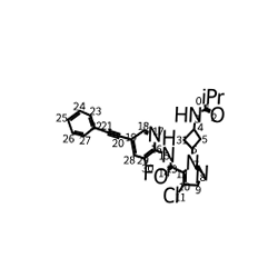 CC(C)C(=O)NC1CC(n2ncc(Cl)c2C(=O)Nc2ncc(C#Cc3ccccc3)cc2F)C1